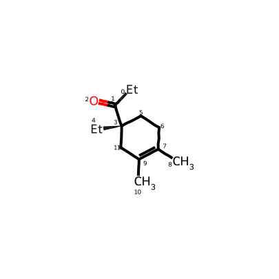 CCC(=O)[C@]1(CC)CCC(C)=C(C)C1